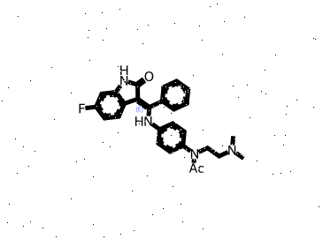 CC(=O)N(CCN(C)C)c1ccc(N/C(=C2/C(=O)Nc3cc(F)ccc32)c2ccccc2)cc1